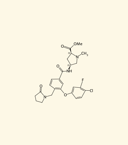 COC(=O)[C@@H]1C[C@H](NC(=O)c2ccc(CN3CCCC3=O)c(Oc3ccc(Cl)c(F)c3)c2)CN1C